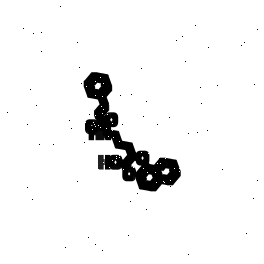 O=C(O)C(CCCNS(=O)(=O)C=Cc1ccccc1)Oc1cccc2ccccc12